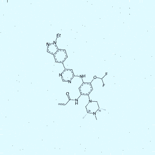 C=CC(=O)Nc1cc(Nc2cc(-c3ccc4c(cnn4CC)c3)ncn2)c(OC(F)F)cc1N1C[C@@H](C)N(C)[C@@H](C)C1